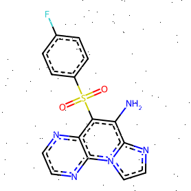 Nc1c(S(=O)(=O)c2ccc(F)cc2)c2nccnc2n2ccnc12